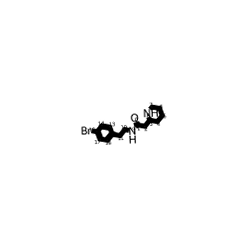 O=C(CC1CCCCN1)NCCc1ccc(Br)cc1